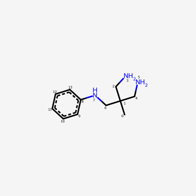 CC(CN)(CN)CNc1ccccc1